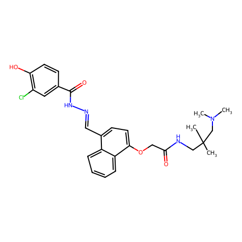 CN(C)CC(C)(C)CNC(=O)COc1ccc(/C=N/NC(=O)c2ccc(O)c(Cl)c2)c2ccccc12